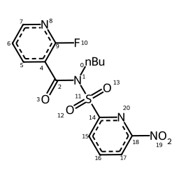 CCCCN(C(=O)c1cccnc1F)S(=O)(=O)c1cccc([N+](=O)[O-])n1